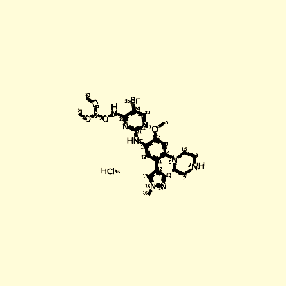 COc1cc(N2CCNCC2)c(-c2cnn(C)c2)cc1Nc1ncc(Br)c(NOP(OC)OC)n1.Cl